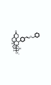 C[C@]12CC(c3ccc(C=NOCc4ccccc4)cc3)C3=C4CCC(=O)C=C4CC[C@H]3[C@@H]1CC[C@@]2(O)C(F)(F)C(F)(F)F